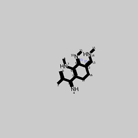 C=C(C)C(=N)C1=C(NC)C(=N/C)/C(=C\NC)CC1